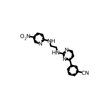 N#Cc1cccc(-c2ccnc(NCCNc3ccc([N+](=O)[O-])cn3)n2)c1